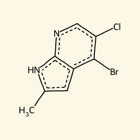 Cc1cc2c(Br)c(Cl)cnc2[nH]1